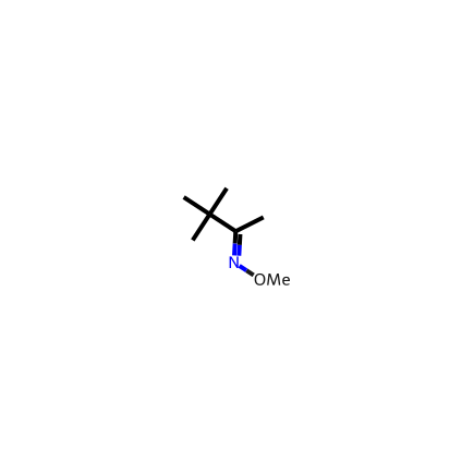 [CH2]O/N=C(\C)C(C)(C)C